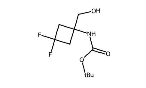 CC(C)(C)OC(=O)NC1(CO)CC(F)(F)C1